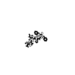 CC[C@H](C)[C@@H]([C@@H](CC(=O)N1CCC[C@H]1[C@H](OC)[C@@H](C)C(=O)N[C@@H](Cc1ccccc1)C(=O)OCc1ccccc1)OC)N(C)C(=O)[C@@H](NC(=O)[C@@H](NC)C(C)C)C(C)C